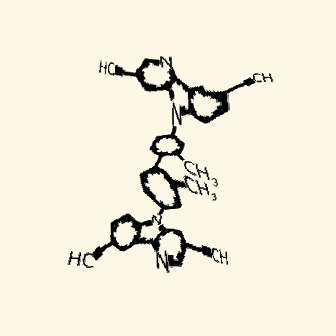 C#Cc1ccc2c(c1)c1ncc(C#C)cc1n2-c1ccc(-c2ccc(-n3c4ccc(C#C)cc4c4ncc(C#C)cc43)cc2C)c(C)c1